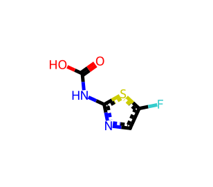 O=C(O)Nc1ncc(F)s1